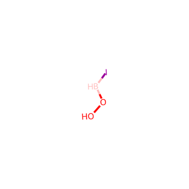 OOBI